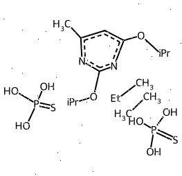 CC.CCC.Cc1cc(OC(C)C)nc(OC(C)C)n1.OP(O)(O)=S.OP(O)(O)=S